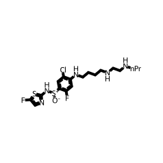 CCCNCCNCCCCNc1cc(F)c([S+]([O-])Nc2ncc(F)s2)cc1Cl